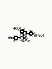 CCCCCCCOc1ccc(C(=O)Cc2cc(C(=O)O)ccc2CC(NC(=O)c2ccc(C(C)(C)C)cc2)C(=O)OC)cc1